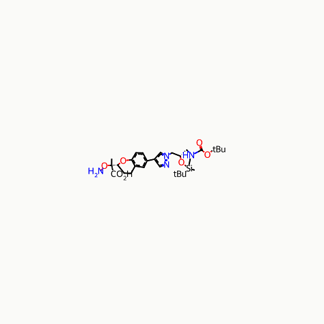 CC(C)(C)OC(=O)NC[C@@H](Cn1cc(-c2ccc3c(c2)CC[C@H](C(C)(ON)C(=O)O)O3)cn1)O[Si](C)(C)C(C)(C)C